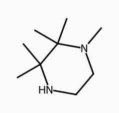 CN1CCNC(C)(C)C1(C)C